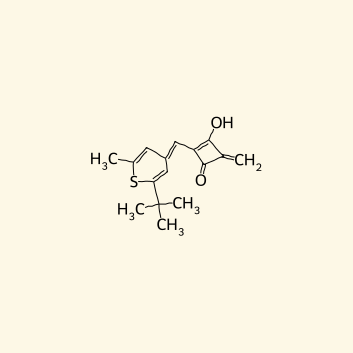 C=C1C(=O)C(/C=C2/C=C(C)SC(C(C)(C)C)=C2)=C1O